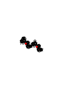 O=C1CC[C@H](NCC[C@@]2(c3ccccn3)CCOC3(CCCC3)C2)c2cc(C3CCC4(C3)C[C@](CCN[C@H]3CCC5(OCCO5)c5ccccc53)(c3ccccn3)CCO4)ccc21